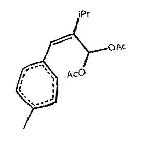 CC(=O)OC(OC(C)=O)C(=Cc1ccc(C)cc1)C(C)C